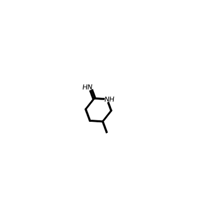 CC1CCC(=N)NC1